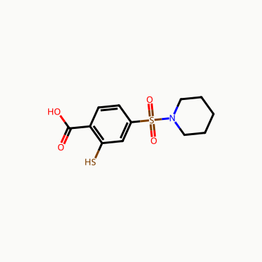 O=C(O)c1ccc(S(=O)(=O)N2CCCCC2)cc1S